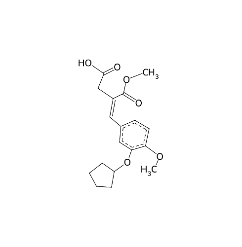 COC(=O)C(=Cc1ccc(OC)c(OC2CCCC2)c1)CC(=O)O